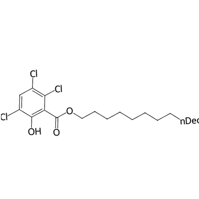 CCCCCCCCCCCCCCCCCCOC(=O)c1c(O)c(Cl)cc(Cl)c1Cl